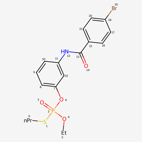 CCCSP(=O)(OCC)Oc1cccc(NC(=O)c2ccc(Br)cc2)c1